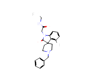 O=C(CN1C(=O)C2(CCN(Cc3ccccc3)CC2)c2c1cccc2C(F)(F)F)NCC(F)(F)F